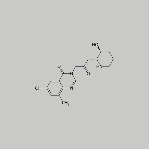 Cc1cc(Cl)cc2c(=O)n(CC(=O)C[C@H]3NCCC[C@@H]3O)cnc12